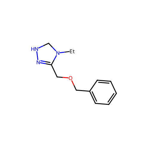 CCN1CNN=C1COCc1ccccc1